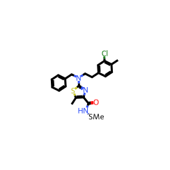 CSNC(=O)c1nc(N(CCc2ccc(C)c(Cl)c2)Cc2ccccc2)sc1C